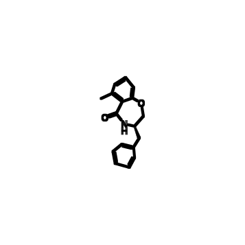 Cc1cccc2c1C(=O)N[C@H](Cc1ccccc1)CO2